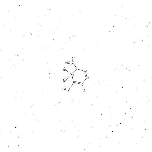 CC1=C(C(=O)O)C(Br)(Br)C(C(=O)O)C=C1